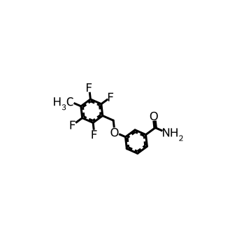 Cc1c(F)c(F)c(COc2cccc(C(N)=O)c2)c(F)c1F